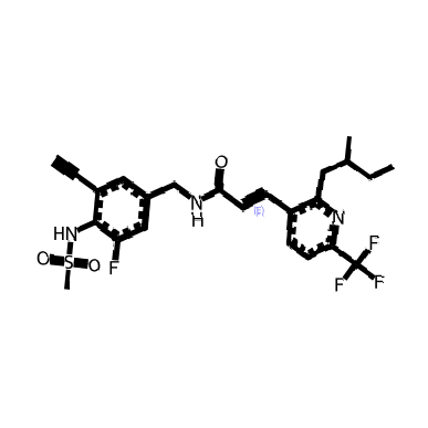 C#Cc1cc(CNC(=O)/C=C/c2ccc(C(F)(F)F)nc2CC(C)CC)cc(F)c1NS(C)(=O)=O